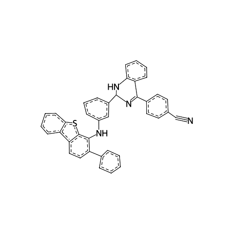 N#Cc1ccc(C2=NC(c3cccc(Nc4c(-c5ccccc5)ccc5c4sc4ccccc45)c3)Nc3ccccc32)cc1